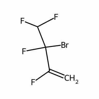 C=C(F)C(F)(Br)C(F)F